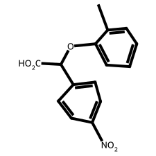 Cc1ccccc1OC(C(=O)O)c1ccc([N+](=O)[O-])cc1